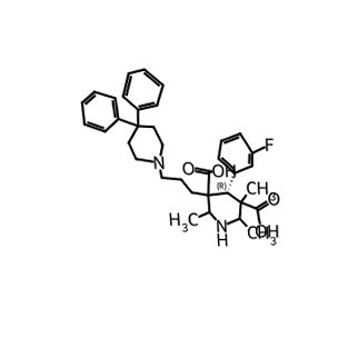 CC1NC(C)C(CCCN2CCC(c3ccccc3)(c3ccccc3)CC2)(C(=O)O)[C@H](c2cccc(F)c2)C1(C)C(=O)O